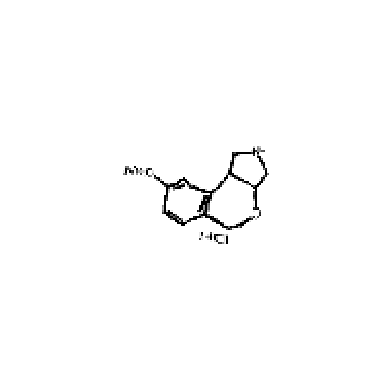 COc1ccc2c(c1)C1CNCC1OC2.Cl